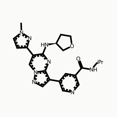 CC(C)NC(=O)c1cncc(-c2cnn3cc(-c4ccn(C)n4)c(N[C@H]4CCOC4)nc23)c1